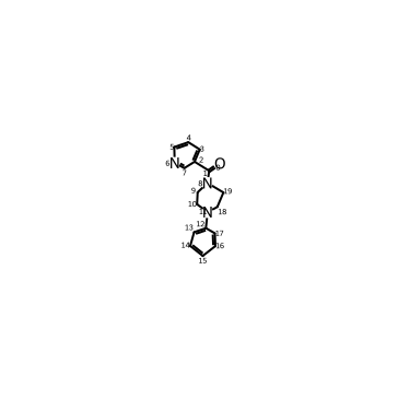 O=C(c1cccnc1)N1CCN(c2ccccc2)CC1